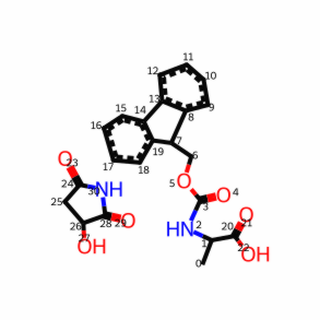 CC(NC(=O)OCC1c2ccccc2-c2ccccc21)C(=O)O.O=C1CC(O)C(=O)N1